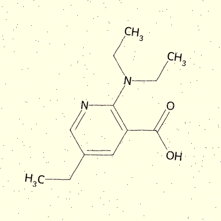 CCc1cnc(N(CC)CC)c(C(=O)O)c1